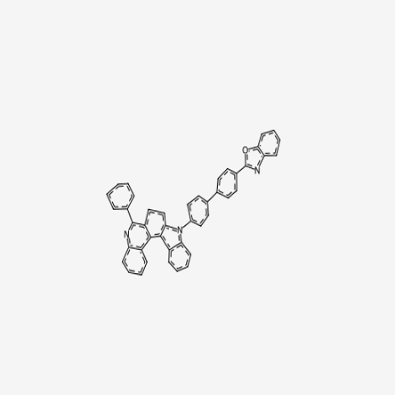 c1ccc(-c2nc3ccccc3c3c2ccc2c3c3ccccc3n2-c2ccc(-c3ccc(-c4nc5ccccc5o4)cc3)cc2)cc1